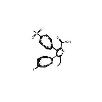 CCc1sc(C(=O)O)c(-c2ccc(S(C)(=O)=O)cc2)c1-c1ccc(F)cc1